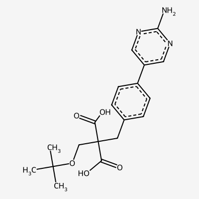 CC(C)(C)OCC(Cc1ccc(-c2cnc(N)nc2)cc1)(C(=O)O)C(=O)O